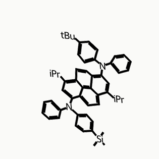 CC(C)c1cc(N(c2ccccc2)c2ccc(C(C)(C)C)cc2)c2ccc3c(C(C)C)cc(N(c4ccccc4)c4ccc([Si](C)(C)C)cc4)c4ccc1c2c34